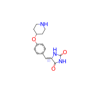 O=C1NC(=O)/C(=C/c2ccc(OC3CCNCC3)cc2)N1